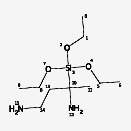 CCO[Si](OCC)(OCC)C(C)(N)CCN